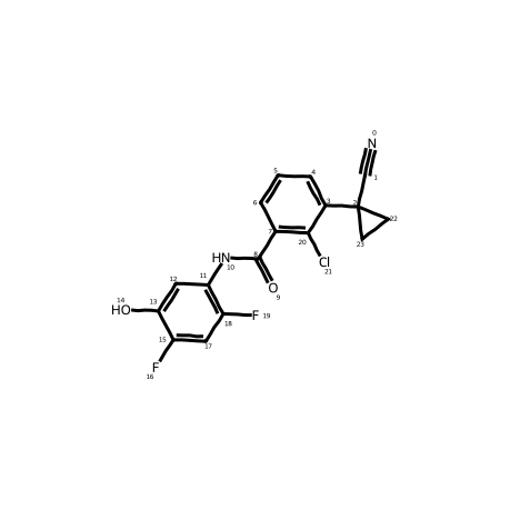 N#CC1(c2cccc(C(=O)Nc3cc(O)c(F)cc3F)c2Cl)CC1